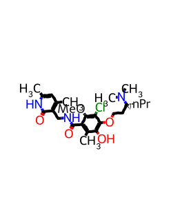 CCC[C@H](CCOc1c(O)c(C)c(C(=O)NCc2c(C)cc(C)[nH]c2=O)c(OC)c1Cl)N(C)C